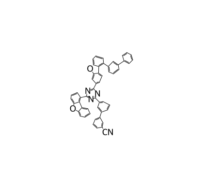 N#Cc1cccc(-c2cccc(-c3nc(-c4ccc5c(c4)oc4cccc(-c6cccc(-c7ccccc7)c6)c45)nc(-c4cccc5oc6ccccc6c45)n3)c2)c1